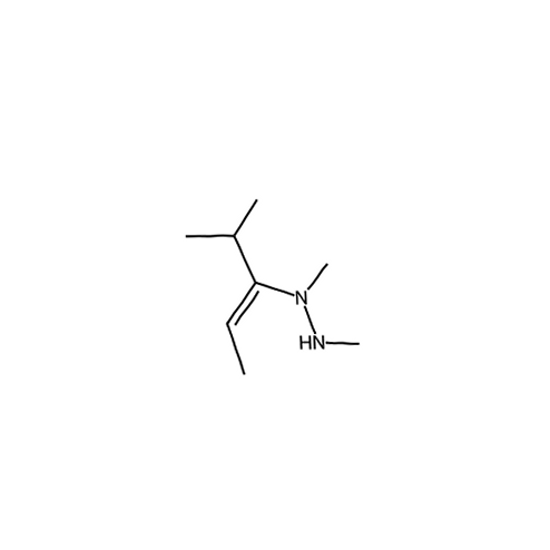 C/C=C(/C(C)C)N(C)NC